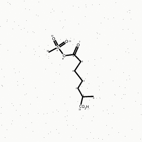 CC(CCCCC(=O)OS(C)(=O)=O)C(=O)O